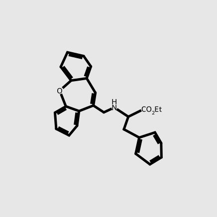 CCOC(=O)C(Cc1ccccc1)NCC1=Cc2ccccc2Oc2ccccc21